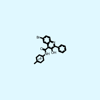 CC12CCC(NC(=O)c3c(O)c(-c4ccccc4)nc4ccc(Br)cc34)(CC1)CC2